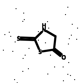 O=C1CNC(=S)S1